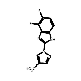 O=C(O)c1cnn(-c2nc3c(F)c(F)ccc3[nH]2)c1